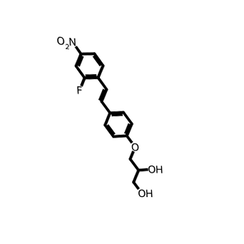 O=[N+]([O-])c1ccc(/C=C/c2ccc(OCC(O)CO)cc2)c(F)c1